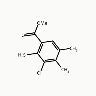 COC(=O)c1cc(C)c(C)c(Cl)c1[SiH3]